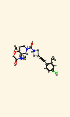 O=C1CO[C@H]2CCN(C(=O)N3CC(C#Cc4ccc(Cl)cc4C(F)(F)F)C3)C[C@H]2N1